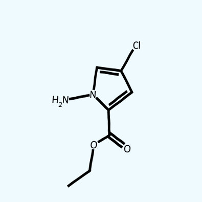 CCOC(=O)c1cc(Cl)cn1N